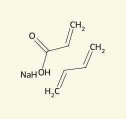 C=CC(=O)O.C=CC=C.[NaH]